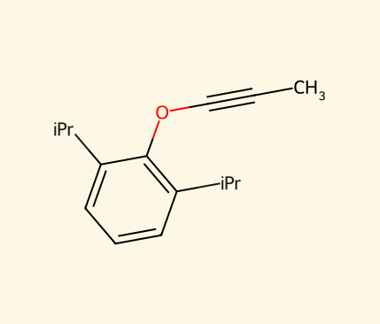 CC#COc1c(C(C)C)cccc1C(C)C